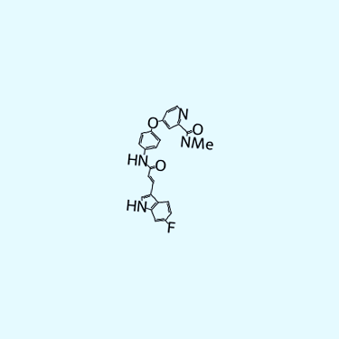 CNC(=O)c1cc(Oc2ccc(NC(=O)C=Cc3c[nH]c4cc(F)ccc34)cc2)ccn1